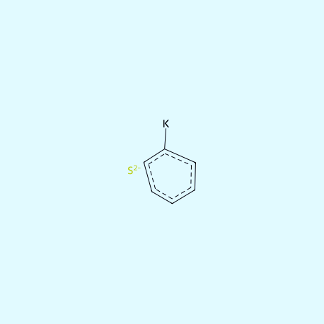 [K][c]1ccccc1.[S-2]